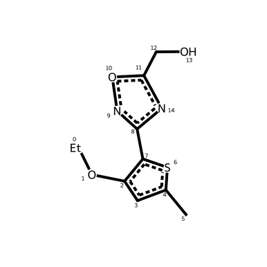 CCOc1cc(C)sc1-c1noc(CO)n1